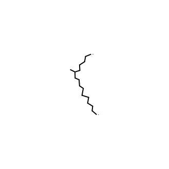 [CH2]CCCCCCCCCC(C)CCCC[CH2]